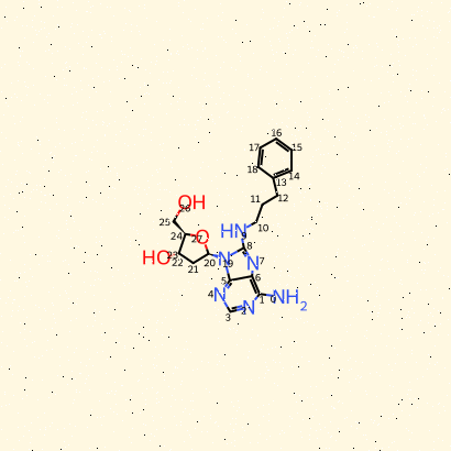 Nc1ncnc2c1nc(NCCCc1ccccc1)n2[C@H]1C[C@H](O)[C@@H](CO)O1